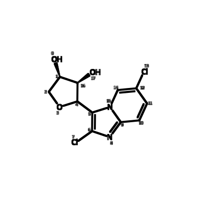 O[C@@H]1COC(c2c(Cl)nc3ccc(Cl)cn23)[C@@H]1O